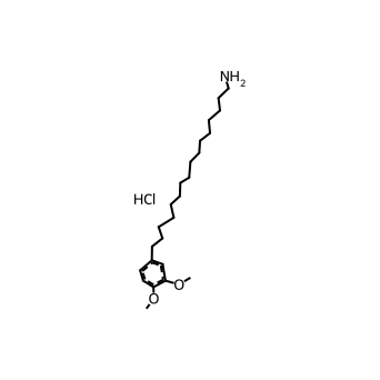 COc1ccc(CCCCCCCCCCCCCCCCN)cc1OC.Cl